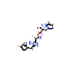 C[C@@](N)(Cc1ccccc1)c1nnc(Cc2nnc(Cc3ccccc3)[nH]2)o1